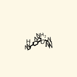 Cn1ncnc1COc1cc(N)nc2cc(-c3ccn[nH]3)ccc12